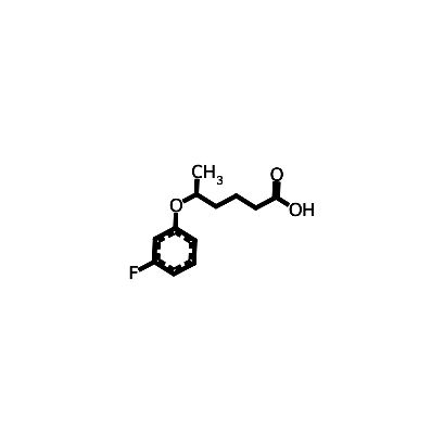 CC(CCCC(=O)O)Oc1cccc(F)c1